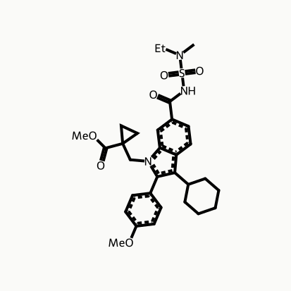 CCN(C)S(=O)(=O)NC(=O)c1ccc2c(C3CCCCC3)c(-c3ccc(OC)cc3)n(CC3(C(=O)OC)CC3)c2c1